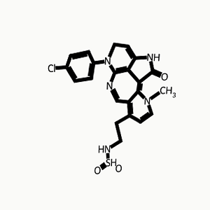 CN1C=CC(CCN[SH](=O)=O)=c2cnc3c4c([nH]c(=O)c-4c21)=CCN3c1ccc(Cl)cc1